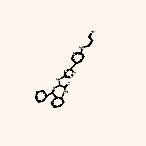 N=C/C=C\Nc1ccc(-c2nnc(NC3N=C(c4ccccc4)c4ccccc4NC3=O)o2)cn1